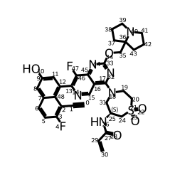 C#Cc1c(F)ccc2cc(O)cc(-c3ncc4c(N5CCS(=O)(=O)C[C@@H](NC(=O)C=C)C5)nc(OCC56CCCN5CCC6)nc4c3F)c12